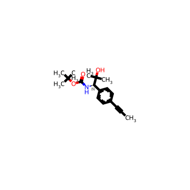 CC#Cc1ccc([C@H](NC(=O)OC(C)(C)C)C(C)(C)O)cc1